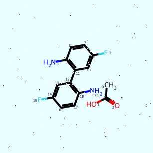 CC(=O)O.Nc1ccc(F)cc1-c1cc(F)ccc1N